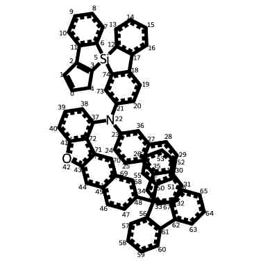 C1=CC2=C(C1)[Si]1(c3ccccc32)c2ccccc2-c2ccc(N(c3ccc4c(ccc5ccccc54)c3)c3cccc4oc5cc6ccc(C7(c8ccccc8)c8ccccc8-c8ccccc87)cc6cc5c34)cc21